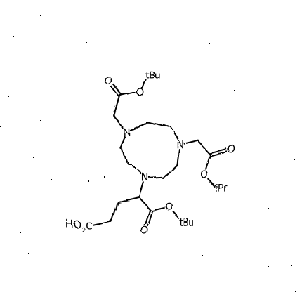 CC(C)OC(=O)CN1CCN(CC(=O)OC(C)(C)C)CCN(C(CCC(=O)O)C(=O)OC(C)(C)C)CC1